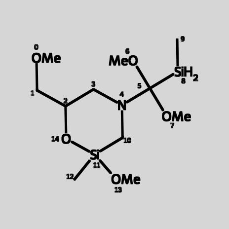 COCC1CN(C(OC)(OC)[SiH2]C)C[Si](C)(OC)O1